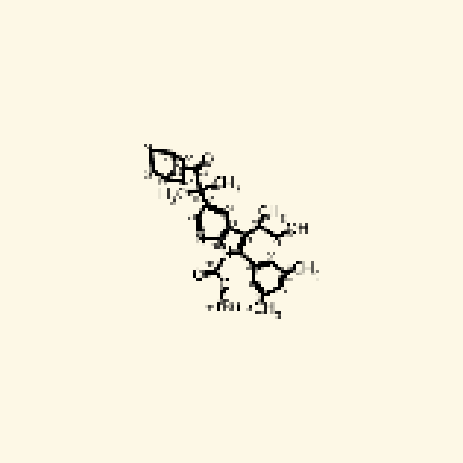 Cc1cc(C)cc(-c2c(C(C)CO)c3cc(C(C)(C)C(=O)N4C5CCC4CC5)cnc3n2C(=O)OC(C)(C)C)c1